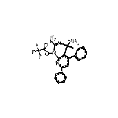 CC1(N)N=C(N)N(OC(=O)C(F)(F)F)c2nc(-c3ccccc3)cc(-c3ccccc3)c21